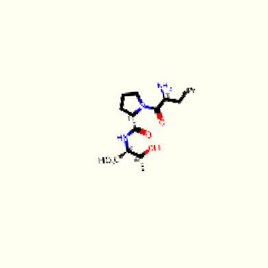 CC(C)C[C@H](N)C(=O)N1CCC[C@H]1C(=O)N[C@H](C(=O)O)[C@@H](C)O